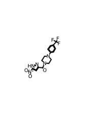 O=C(c1cc([N+](=O)[O-])[nH]n1)N1CCN(c2ccc(C(F)(F)F)cc2)CC1